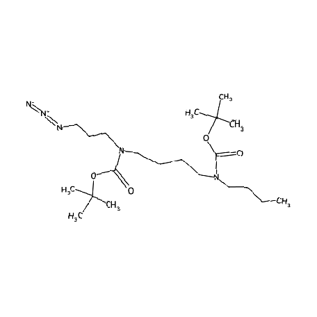 CCCCN(CCCCN(CCCN=[N+]=[N-])C(=O)OC(C)(C)C)C(=O)OC(C)(C)C